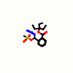 CC[Si](CC)(CC)OC(=O)c1ccccc1C(N=[N+]=[N-])OS(C)(=O)=O